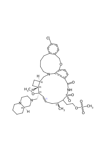 CO[C@]1(CN2CCN3CCCC[C@@H]3C2)/C=C/C[C@H](C)C(CCOS(C)(=O)=O)S(=O)(=O)NC(=O)c2ccc3c(c2)N(CCCCc2cc(Cl)ccc2CO3)C[C@@H]2CC[C@H]21